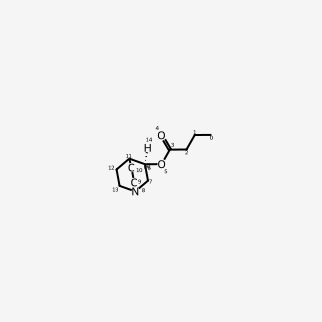 CCCC(=O)O[C@H]1CN2CCC1CC2